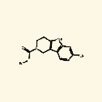 CC(C)(C)OC(=O)N1CCc2[nH]c3cc(C#N)ccc3c2C1